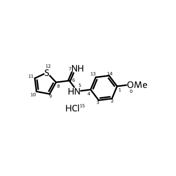 COc1ccc(NC(=N)c2cccs2)cc1.Cl